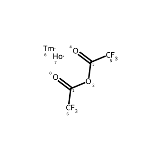 O=C(OC(=O)C(F)(F)F)C(F)(F)F.[Ho].[Tm]